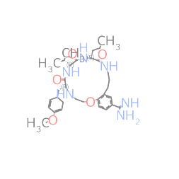 CCC[C@@H]1NC(=O)[C@@H](C(C)C)NC(=O)[C@@H](CC2C=CC(OC)=CC2)NCCOc2ccc(C(=N)N)cc2CCCNC1=O